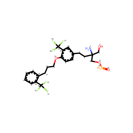 NC(CO)(CCc1ccc(OCCCc2ccccc2C(F)(F)F)c(C(F)(F)F)c1)CO[PH2]=O